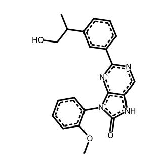 COc1ccccc1-n1c(=O)[nH]c2cnc(-c3cccc(C(C)CO)c3)nc21